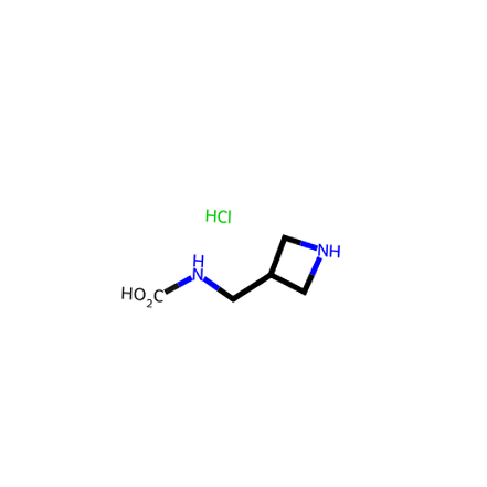 Cl.O=C(O)NCC1CNC1